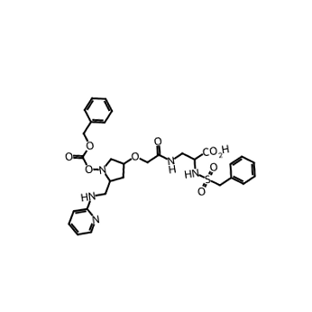 O=C(COC1CC(CNc2ccccn2)N(OC(=O)OCc2ccccc2)C1)NCC(NS(=O)(=O)Cc1ccccc1)C(=O)O